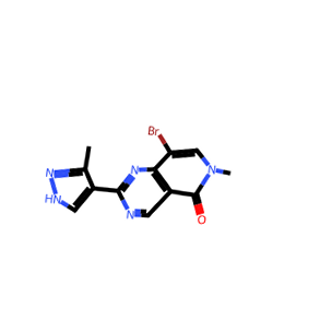 Cc1n[nH]cc1-c1ncc2c(=O)n(C)cc(Br)c2n1